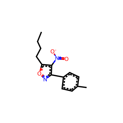 CCCCc1onc(-c2ccc(C)cc2)c1[N+](=O)[O-]